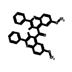 Cc1c(-c2ccccc2)nc2ccc(OC(F)(F)F)cc2c1C(=O)c1c(C)c(-c2ccccc2)nc2ccc(OC(F)(F)F)cc12